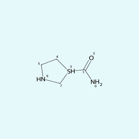 NC(=O)[SH]1CCNC1